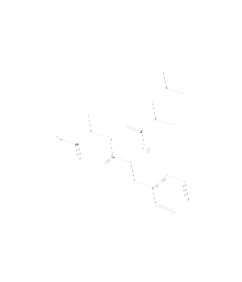 CC(C)CC(CS)C(=O)NC(Cc1ccccc1)C(=O)NC(C)C(N)=O